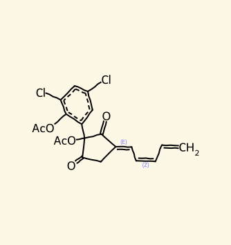 C=C/C=C\C=C1/CC(=O)C(OC(C)=O)(c2cc(Cl)cc(Cl)c2OC(C)=O)C1=O